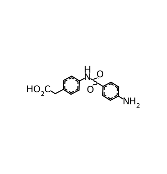 Nc1ccc(S(=O)(=O)Nc2ccc(CC(=O)O)cc2)cc1